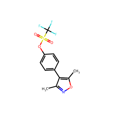 Cc1noc(C)c1-c1ccc(OS(=O)(=O)C(F)(F)F)cc1